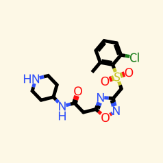 Cc1cccc(Cl)c1S(=O)(=O)Cc1noc(CC(=O)NC2CCNCC2)n1